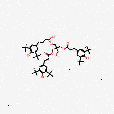 CC(C)(C)c1cc(CCCC(O)OCC(CO)(COC(=O)CCc2cc(C(C)(C)C)c(O)c(C(C)(C)C)c2)COC(=O)CCc2cc(C(C)(C)C)c(O)c(C(C)(C)C)c2)cc(C(C)(C)C)c1O